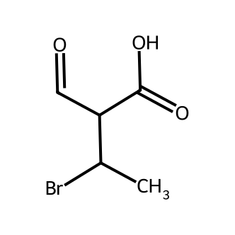 CC(Br)C(C=O)C(=O)O